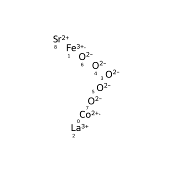 [Co+2].[Fe+3].[La+3].[O-2].[O-2].[O-2].[O-2].[O-2].[Sr+2]